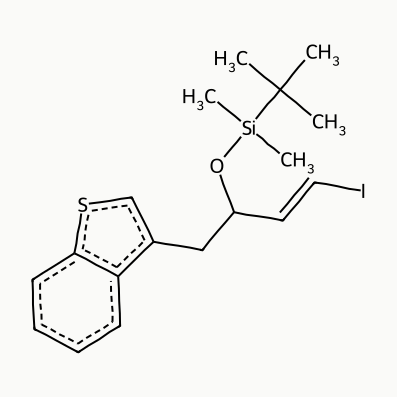 CC(C)(C)[Si](C)(C)OC(/C=C/I)Cc1csc2ccccc12